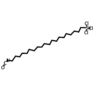 O=C=NCCCCCCCCCCCCCCCCCCCC[Si](Cl)(Cl)Cl